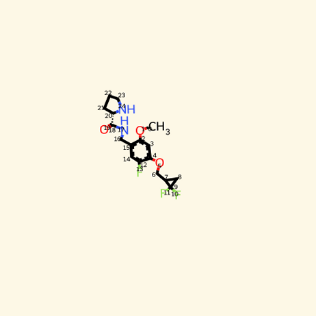 COc1cc(OCC2CC2(F)F)c(F)cc1CNC(=O)[C@@H]1CCCN1